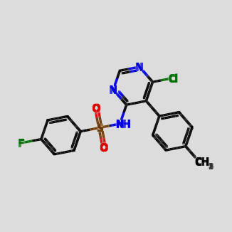 Cc1ccc(-c2c(Cl)ncnc2NS(=O)(=O)c2ccc(F)cc2)cc1